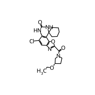 CCO[C@@H]1CCN(C(=O)c2nc3cc(Cl)c4c(c3o2)C2(CCCCC2)NC(=O)N4)C1